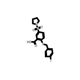 O=C(O)c1cc(S(=O)(=O)N2CCCC2)ccc1SCc1ccc(I)cc1